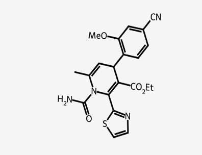 CCOC(=O)C1=C(c2nccs2)N(C(N)=O)C(C)=CC1c1ccc(C#N)cc1OC